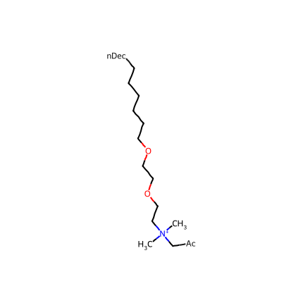 CCCCCCCCCCCCCCCCOCCOCC[N+](C)(C)CC(C)=O